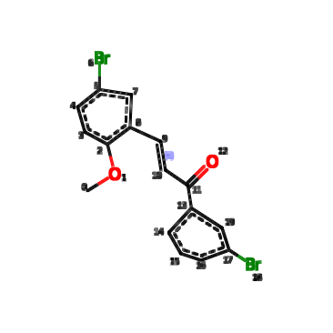 COc1ccc(Br)cc1/C=C/C(=O)c1cccc(Br)c1